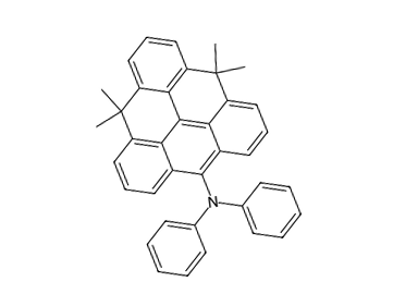 CC1(C)c2cccc3c2-c2c4c1cccc4c(N(c1ccccc1)c1ccccc1)c1cccc(c21)C3(C)C